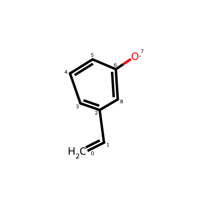 C=Cc1cccc([O])c1